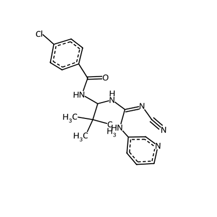 CC(C)(C)C(NC(=O)c1ccc(Cl)cc1)N/C(=N/C#N)Nc1cccnc1